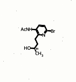 CC(=O)Nc1ccc(Br)nc1CC[C@@H](C)O